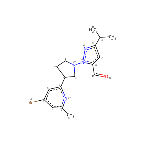 Cc1cc(Br)cc(C2CCN(n3nc(C(C)C)cc3C=O)C2)n1